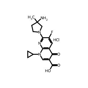 CC1(N)CCN(c2nc3c(cc2F)c(=O)c(C(=O)O)cn3C2CC2)C1.Cl